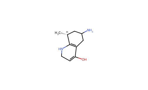 C[C@@H]1CC(N)CC2=C1NCC=C2O